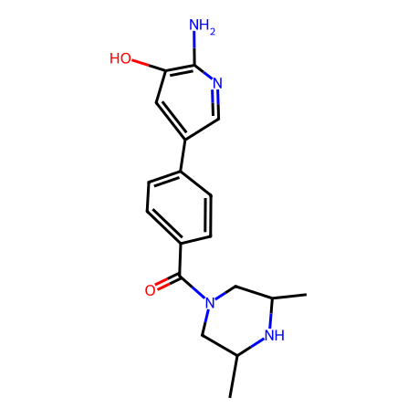 CC1CN(C(=O)c2ccc(-c3cnc(N)c(O)c3)cc2)CC(C)N1